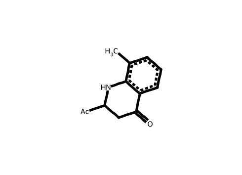 CC(=O)C1CC(=O)c2cccc(C)c2N1